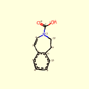 O=C(O)N1C=Cc2ccccc2CC1